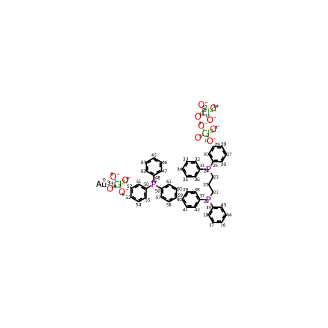 [Au+3].[O-][Cl+3]([O-])([O-])[O-].[O-][Cl+3]([O-])([O-])[O-].[O-][Cl+3]([O-])([O-])[O-].c1ccc(P(CCCP(c2ccccc2)c2ccccc2)c2ccccc2)cc1.c1ccc(P(c2ccccc2)c2ccccc2)cc1